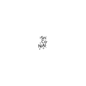 [Al].[Co].[Ni].[Sn]